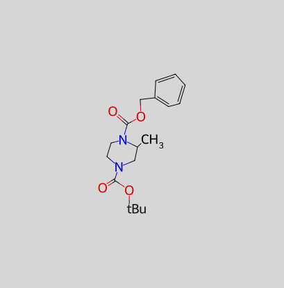 CC1CN(C(=O)OC(C)(C)C)CCN1C(=O)OCc1ccccc1